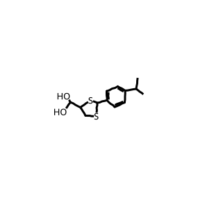 CC(C)c1ccc(C2SCC(C(O)O)S2)cc1